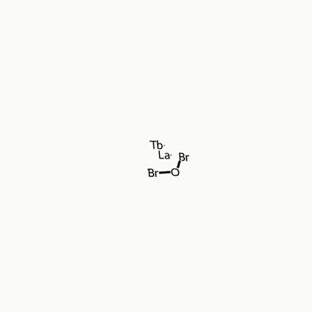 BrOBr.[La].[Tb]